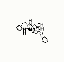 CC(C)(CC(=O)NC1CCc2ccccc2NC1=O)NC(=O)OCc1ccccc1